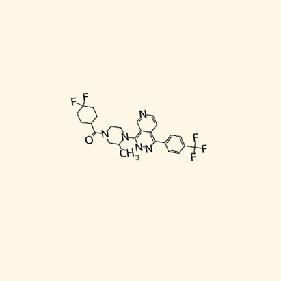 CC1CN(C(=O)C2CCC(F)(F)CC2)CCN1c1nnc(-c2ccc(C(F)(F)F)cc2)c2ccncc12